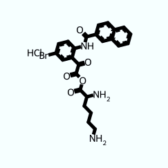 Cl.NCCCCC(N)C(=O)OC(=O)C(=O)c1cc(Br)ccc1NC(=O)c1ccc2ccccc2c1